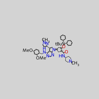 COc1ccc(CNc2ncnc3c2c(-c2ccn(C)n2)cn3[C@H]2C[C@H](O[Si](c3ccccc3)(c3ccccc3)C(C)(C)C)[C@@H](C(=O)NC3CCN(C)CC3)C2)c(OC)c1